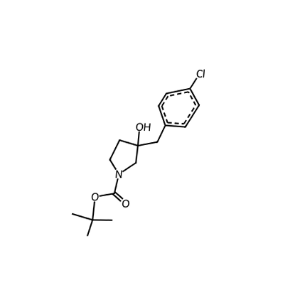 CC(C)(C)OC(=O)N1CCC(O)(Cc2ccc(Cl)cc2)C1